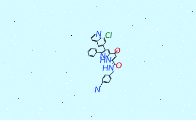 N#Cc1ccc(CNC(=O)c2cc(=O)c3cc(-c4cc(Cl)c5ncccc5c4)c(-c4ccccc4)nc3[nH]2)cc1